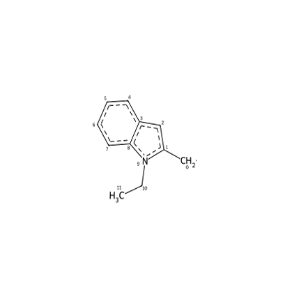 [CH2]c1cc2ccccc2n1CC